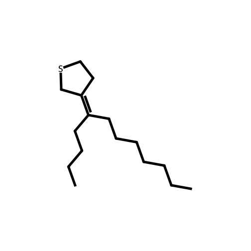 CCCCCCC/C(CCCC)=C1\CCSC1